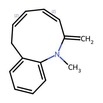 C=C1/C=C\C=C/Cc2ccccc2N1C